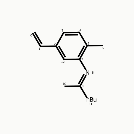 C=Cc1ccc(C)c(/N=C(\C)CCCC)c1